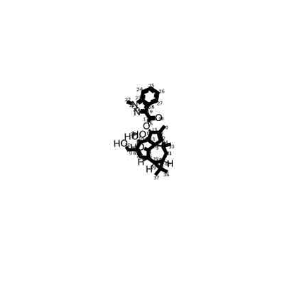 CC1=C[C@]23C(O)[C@@H](C=C(CO)[C@@H](O)[C@]2(O)[C@H]1OC(=O)c1nn(C)c2ccccc12)[C@H]1[C@@H](CC3(C)C)C1(C)C